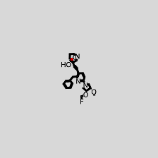 CO[C@H]1CN(c2ccc(C#C[C@@]3(O)CN4CCC3CC4)c(Cc3ccccc3)n2)C[C@H]1OCF